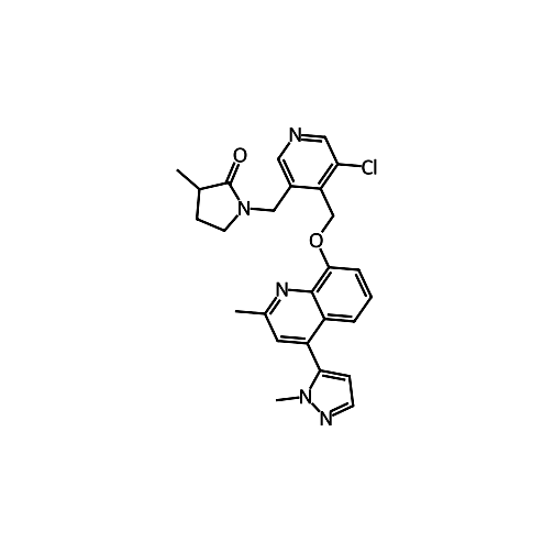 Cc1cc(-c2ccnn2C)c2cccc(OCc3c(Cl)cncc3CN3CCC(C)C3=O)c2n1